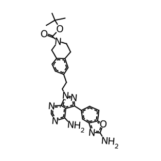 CC(C)(C)OC(=O)N1CCc2cc(CCn3nc(-c4ccc5oc(N)nc5c4)c4c(N)ncnc43)ccc2C1